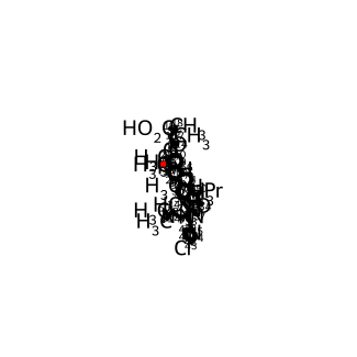 CC(C)C1=C2[C@H]3CC[C@@H]4[C@@]5(C)CC[C@H](OC(=O)CC(C)(C)C(=O)O)C(C)(C)[C@@H]5CC[C@@]4(C)[C@]3(C)CC[C@@]2(C(O)c2nnc(-c3ccc(Cl)cn3)n2CCN(C)C)CC1=O